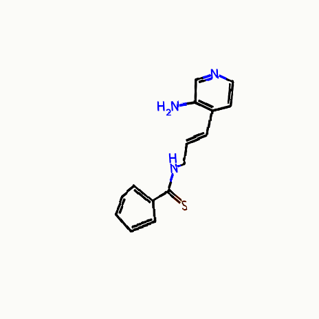 Nc1cnccc1C=CCNC(=S)c1ccccc1